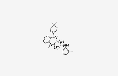 Cc1cccc(NC(=O)N[C@@H]2N=C(N3CCC(C)(C)CC3)c3ccccc3N(C)C2=O)c1